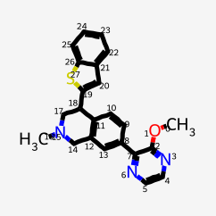 COc1nccnc1-c1ccc2c(c1)CN(C)CC2c1cc2ccccc2s1